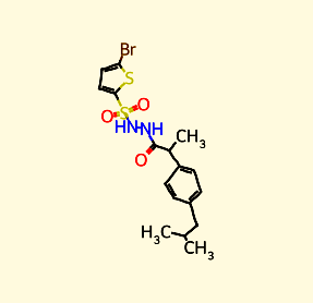 CC(C)Cc1ccc(C(C)C(=O)NNS(=O)(=O)c2ccc(Br)s2)cc1